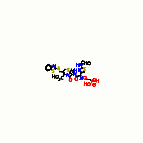 O=CNc1nc(/C(=N\OCCP(=O)(O)O)C(=O)NC2C(=O)N3C(C(=O)O)=C(CSc4nc5ccccc5s4)CS[C@H]23)cs1